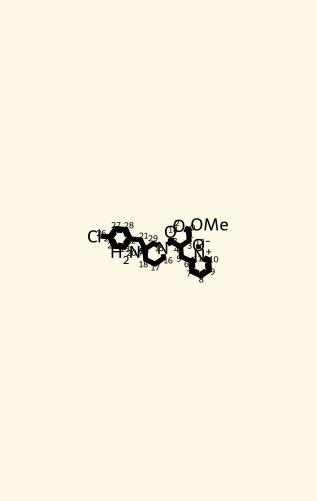 COC(=O)CC(Cc1cccc[n+]1[O-])C(=O)N1CCC[C@@](N)(Cc2ccc(Cl)cc2)C1